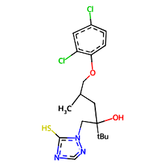 CC(COc1ccc(Cl)cc1Cl)CC(O)(Cn1ncnc1S)C(C)(C)C